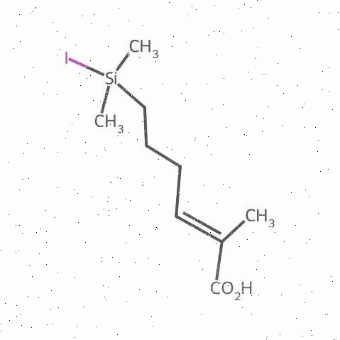 CC(=CCCC[Si](C)(C)I)C(=O)O